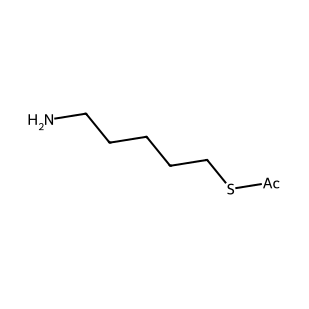 CC(=O)SCCCCCN